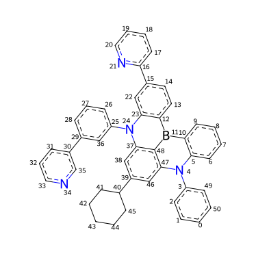 c1ccc(N2c3ccccc3B3c4ccc(-c5ccccn5)cc4N(c4cccc(-c5cccnc5)c4)c4cc(C5CCCCC5)cc2c43)cc1